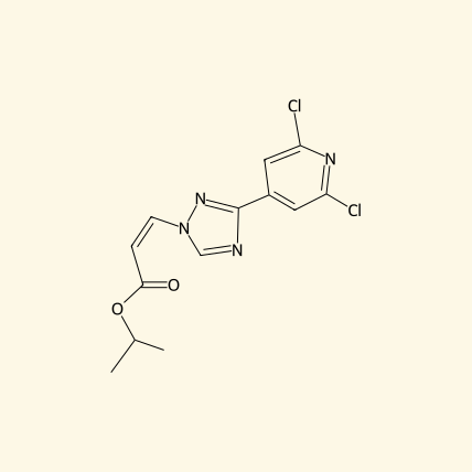 CC(C)OC(=O)/C=C\n1cnc(-c2cc(Cl)nc(Cl)c2)n1